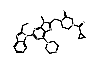 CCc1nc2ccccc2n1-c1nc(N2CCOCC2)c2nc(CN3CCN(C(=O)C4CC4)CC3=O)n(C)c2n1